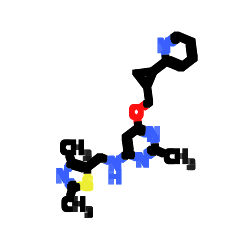 Cc1nc(NCc2sc(C)nc2C)cc(OCC2CC2c2ccccn2)n1